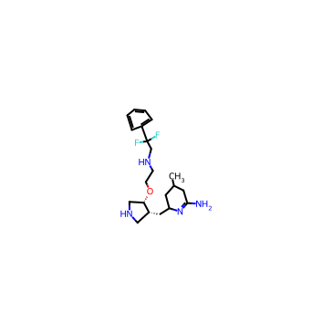 CC1CC(N)=NC(C[C@@H]2CNC[C@@H]2OCCNCC(F)(F)c2ccccc2)C1